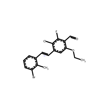 CCOc1cc(/C=C/c2cccc(Br)c2C)c(Cl)c(F)c1C=O